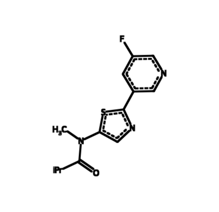 CC(C)C(=O)N(C)c1cnc(-c2cncc(F)c2)s1